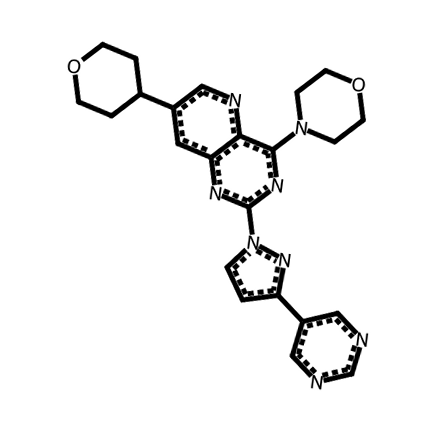 c1ncc(-c2ccn(-c3nc(N4CCOCC4)c4ncc(C5CCOCC5)cc4n3)n2)cn1